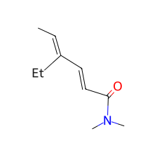 C/C=C(/C=C/C(=O)N(C)C)CC